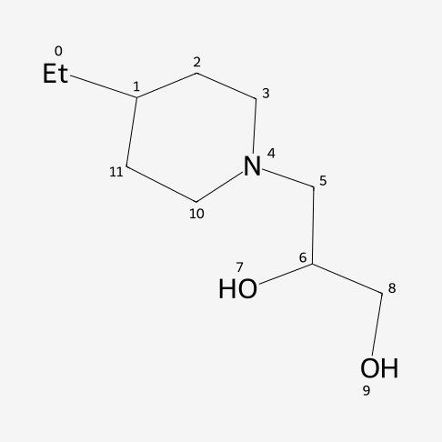 CCC1CCN(CC(O)CO)CC1